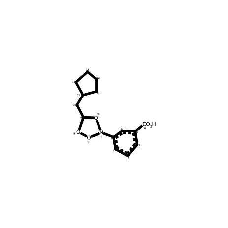 O=C(O)c1cccc(N2OOC(CC3CCCC3)O2)c1